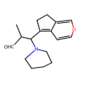 CC(C=O)C(C1=C2C=COC=C2CC1)N1CCCCC1